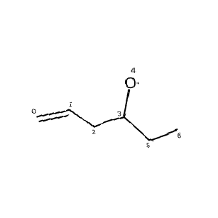 C=CCC([O])[CH]C